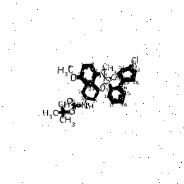 COc1ccc(N(C)S(=O)(=O)c2ccccc2-c2ccc(Cl)cc2)c2c1C[C@@H](NC(=O)OC(C)(C)C)CC2